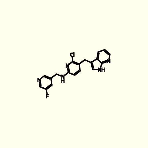 Fc1cncc(CNc2ccc(Cc3c[nH]c4ncccc34)c(Cl)n2)c1